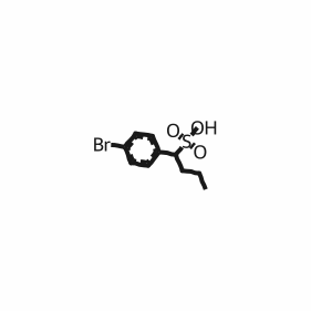 CCCC(c1ccc(Br)cc1)S(=O)(=O)O